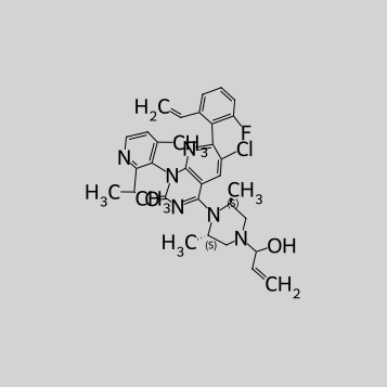 C=Cc1cccc(F)c1-c1nc2c(cc1Cl)c(N1[C@@H](C)CN(C(O)C=C)C[C@@H]1C)nc(=O)n2-c1c(C)ccnc1C(C)C